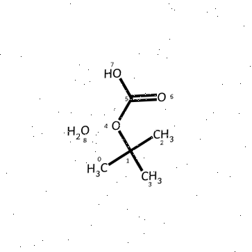 CC(C)(C)OC(=O)O.O